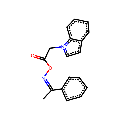 CC(=NOC(=O)Cn1ccc2ccccc21)c1ccccc1